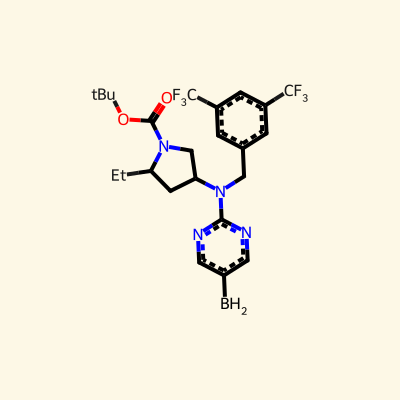 Bc1cnc(N(Cc2cc(C(F)(F)F)cc(C(F)(F)F)c2)C2CC(CC)N(C(=O)OC(C)(C)C)C2)nc1